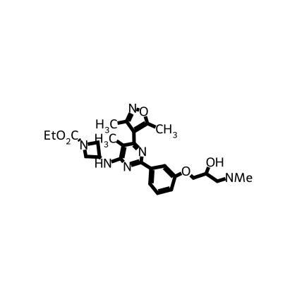 CCOC(=O)N1CC(Nc2nc(-c3cccc(OCC(O)CNC)c3)nc(-c3c(C)noc3C)c2C)C1